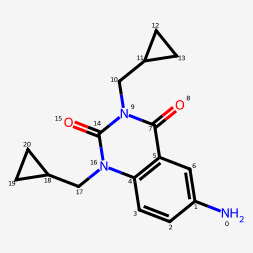 Nc1ccc2c(c1)c(=O)n(CC1CC1)c(=O)n2CC1CC1